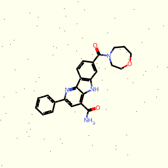 NC(=O)c1cc(-c2ccccc2)nc2c1[nH]c1cc(C(=O)N3CCCOCC3)ccc12